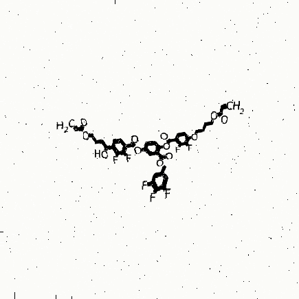 C=CC(=O)OCCCCOc1ccc(C(=O)Oc2ccc(OC(=O)c3ccc(C(O)CCCOC(=O)C=C)c(F)c3F)cc2C(=O)OCc2cc(F)c(F)c(F)c2)c(F)c1F